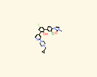 Cn1ccn(-c2ccc(-c3cc(F)cc(-c4ccnc(N5CCN(CC6CC6)CC5)c4)c3O)cc2Cl)c1=O